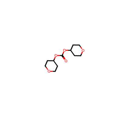 O=C(OC1CCOCC1)OC1CCOCC1